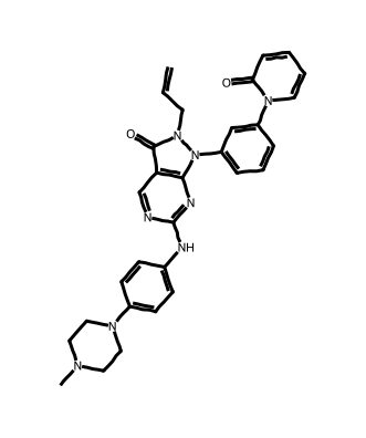 C=CCn1c(=O)c2cnc(Nc3ccc(N4CCN(C)CC4)cc3)nc2n1-c1cccc(-n2ccccc2=O)c1